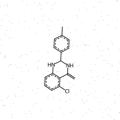 C=C1NC(c2ccc(C)cc2)Nc2cccc(Cl)c21